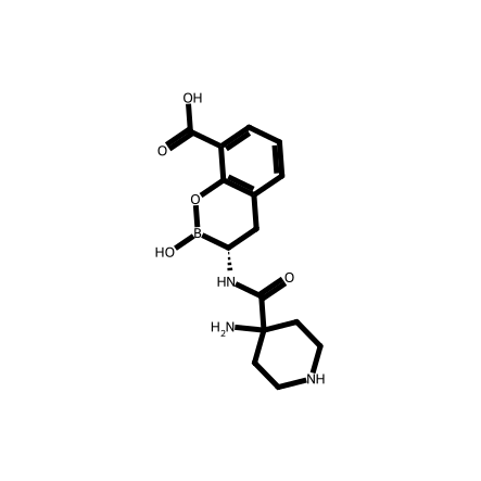 NC1(C(=O)N[C@H]2Cc3cccc(C(=O)O)c3OB2O)CCNCC1